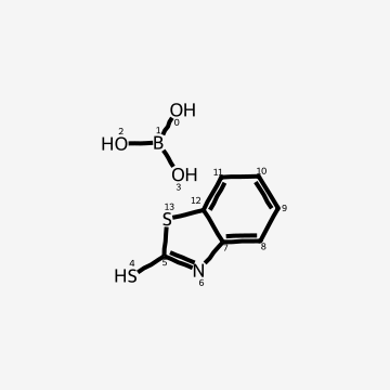 OB(O)O.Sc1nc2ccccc2s1